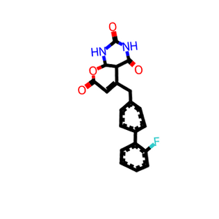 O=C1NC(=O)C2C(Cc3ccc(-c4ccccc4F)cc3)=CC(=O)OC2N1